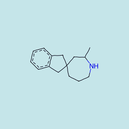 CC1CC2(CCCN1)Cc1ccccc1C2